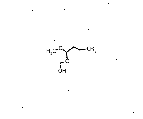 CCCC(OC)OCO